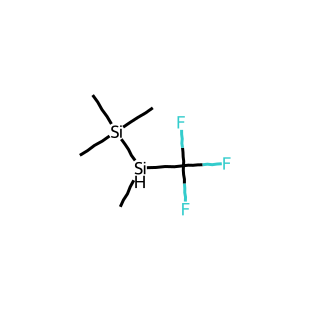 C[SiH](C(F)(F)F)[Si](C)(C)C